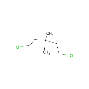 CC(C)(CCCl)CCCl